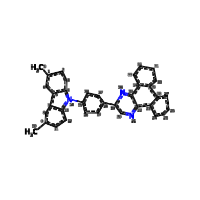 Cc1ccc2c(c1)c1cc(C)ccc1n2-c1ccc(-c2cnc3c4ccccc4c4ccccc4c3n2)cc1